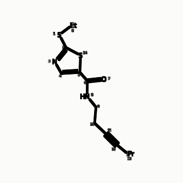 CCSc1ncc(C(=O)NCCC#CC(C)C)s1